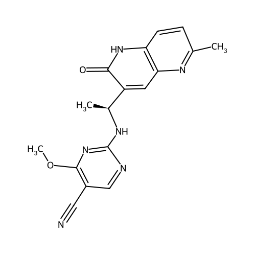 COc1nc(N[C@@H](C)c2cc3nc(C)ccc3[nH]c2=O)ncc1C#N